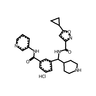 Cl.O=C(Nc1cccnc1)c1cccc(C(NC(=O)c2cc(C3CC3)on2)C2CCNCC2)c1